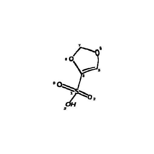 O=S(=O)(O)C1=COCO1